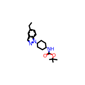 CCc1ccc2c(cnn2[C@H]2CC[C@@H](NC(=O)OC(C)(C)C)CC2)c1